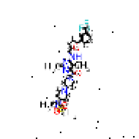 Cc1nc(NCC2CCC(c3cccc(C(F)(F)F)c3)O2)c(C)c(C(=O)N2CCC(N3CCC(N(C)S(C)(=O)=O)CC3)CC2)n1